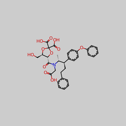 C[C@H]([C@H](CCc1ccccc1)c1ccc(Oc2ccccc2)cc1)N(CC(=O)O)C(=O)[C@H]1OC(C(=O)O)(C(=O)O)O[C@@H]1CO